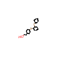 OCCc1ccc(Sc2ccccc2Sc2ccccc2)cc1